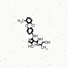 Cc1cccc(Cl)c1Oc1ccc(Nc2snc(O)c2C(=N)NC(C)CO)cc1